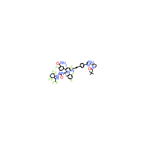 CC(C)(C)CC(=O)N1CCC[C@H]1c1nc(-c2ccc(C#Cc3nc4nc([C@H](Cc5cc(F)cc(F)c5)NC(=O)Cn5nc(C(F)F)c6c5C(F)(F)CCC6(F)F)c(-c5ccc(F)c(C(N)=O)c5)cc4s3)cc2)c[nH]1